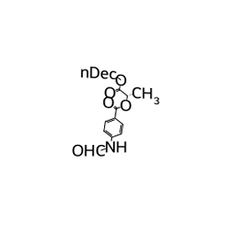 CCCCCCCCCCOC(=O)[C@H](C)OC(=O)c1ccc(NC=O)cc1